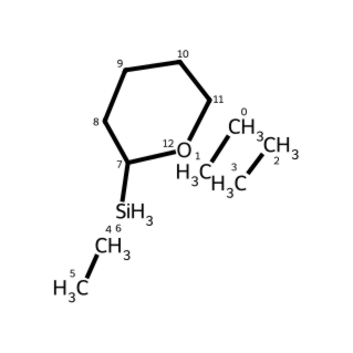 CC.CC.CC.[SiH3]C1CCCCO1